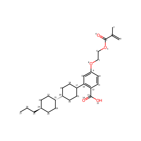 C=C(C)C(=O)OCCOc1ccc(C(=O)O)c(C2CCC([C@H]3CC[C@H](CCC)CC3)CC2)c1